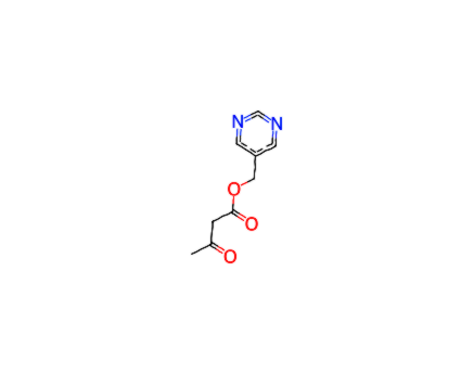 CC(=O)CC(=O)OCc1cncnc1